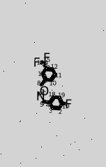 Fc1ccc(/[C]=N\OCc2cccc(C(F)F)c2)cc1